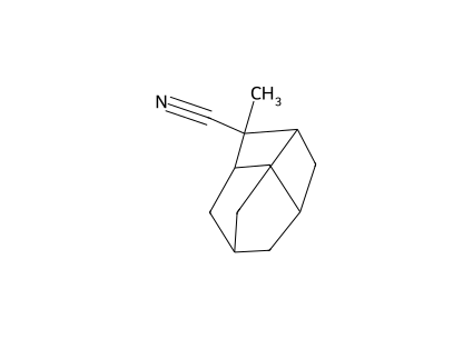 CC1(C#N)C2CC3CC(C2)CC1C3